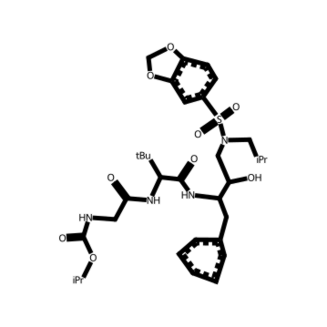 CC(C)CN(CC(O)C(Cc1ccccc1)NC(=O)C(NC(=O)CNC(=O)OC(C)C)C(C)(C)C)S(=O)(=O)c1ccc2c(c1)OCO2